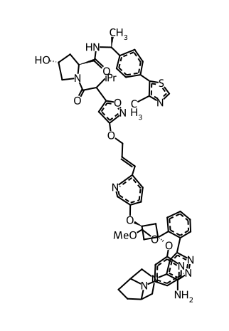 COCOc1ccccc1-c1cc(N2CC3CCC(C2)N3c2ccnc(O[C@H]3C[C@H](Oc4ccc(/C=C/COc5cc(C(C(=O)N6C[C@H](O)C[C@H]6C(=O)N[C@@H](C)c6ccc(-c7scnc7C)cc6)C(C)C)on5)nc4)C3)c2)c(N)nn1